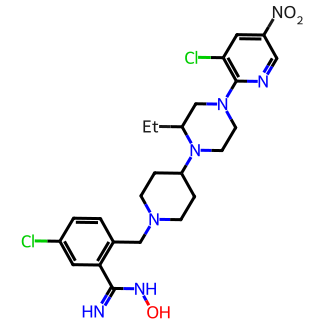 CCC1CN(c2ncc([N+](=O)[O-])cc2Cl)CCN1C1CCN(Cc2ccc(Cl)cc2C(=N)NO)CC1